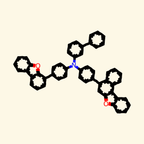 c1ccc(-c2cccc(N(c3ccc(-c4cc5oc6ccccc6c5c5ccccc45)cc3)c3ccc(-c4cccc5c4oc4ccccc45)cc3)c2)cc1